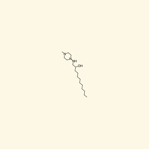 CCCCCCCCCCC(O)CNN1CCN(C)CC1